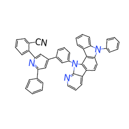 N#Cc1ccccc1-c1cc(-c2cccc(-n3c4ncccc4c4ccc5c(c6ccccc6n5-c5ccccc5)c43)c2)cc(-c2ccccc2)n1